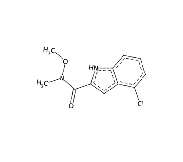 CON(C)C(=O)c1cc2c(Cl)cccc2[nH]1